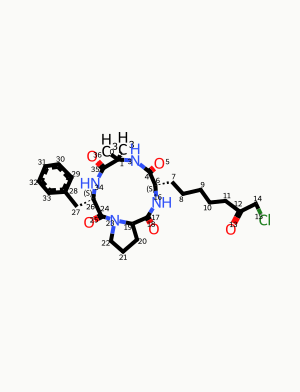 CC1(C)NC(=O)[C@H](CCCCCC(=O)CCl)NC(=O)C2CCCN2C(=O)[C@H](Cc2ccccc2)NC1=O